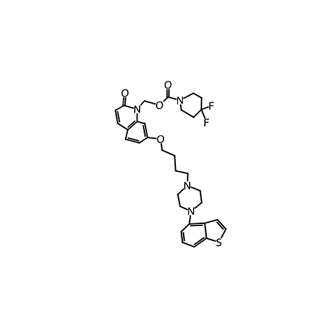 O=C(OCn1c(=O)ccc2ccc(OCCCCN3CCN(c4cccc5sccc45)CC3)cc21)N1CCC(F)(F)CC1